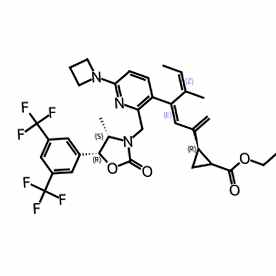 C=C(/C=C(\C(C)=C/C)c1ccc(N2CCC2)nc1CN1C(=O)O[C@H](c2cc(C(F)(F)F)cc(C(F)(F)F)c2)[C@@H]1C)[C@@H]1CC1C(=O)OCC